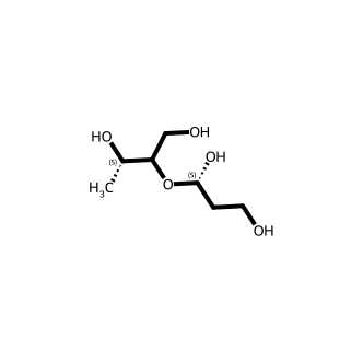 C[C@H](O)C(CO)O[C@H](O)CCO